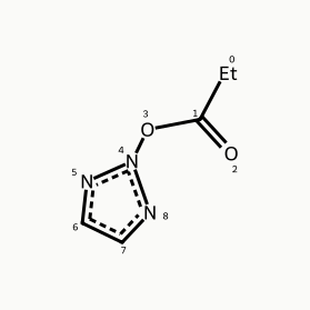 CCC(=O)On1nccn1